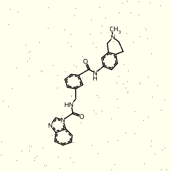 CN1CCc2ccc(NC(=O)c3cccc(CNC(=O)n4cnc5ccccc54)c3)cc2C1